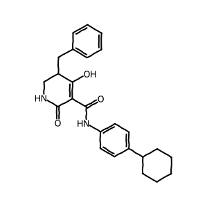 O=C1NCC(Cc2ccccc2)C(O)=C1C(=O)Nc1ccc(C2CCCCC2)cc1